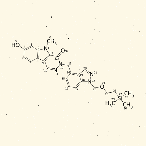 Cn1c2cc(O)ccc2c2cnn(Cc3cccc4c3cnn4COCC[Si](C)(C)C)c(=O)c21